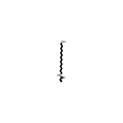 C=CC(=O)NCCCCCCCCCCCCCCO